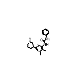 C/C=C(\S/C(NC(=O)Nc1ccccc1)=C(/C)CC)C1CCCNC1